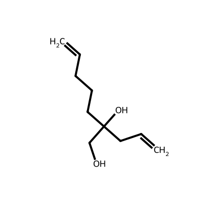 C=CCCCC(O)(CO)CC=C